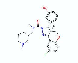 CN1CCCC(CN(C)C(=O)N2N=C3c4cc(F)ccc4OC[C@@H]3[C@H]2c2cccc(O)c2)C1